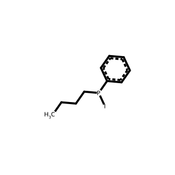 CCCCP(I)c1ccccc1